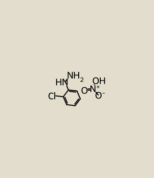 NNc1ccccc1Cl.O=[N+]([O-])O